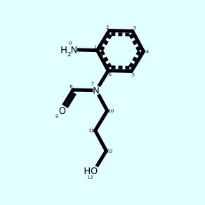 Nc1ccccc1N(C=O)CCCO